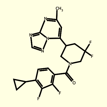 Cc1cc(C2CN(C(=O)c3ccc(C4CC4)c(F)c3F)CC(F)(F)C2)n2ncnc2n1